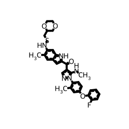 CNc1c(C(=O)c2cc3cc(C)c(NSCC4COCCO4)cc3[nH]2)cnn1-c1ccc(Oc2ccccc2F)cc1C